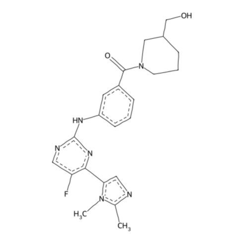 Cc1ncc(-c2nc(Nc3cccc(C(=O)N4CCCC(CO)C4)c3)ncc2F)n1C